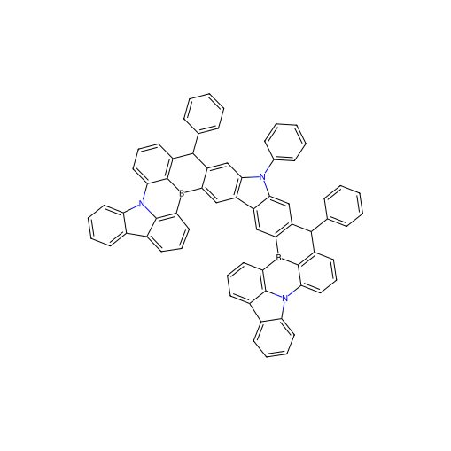 c1ccc(C2c3cc4c(cc3B3c5c2cccc5-n2c5ccccc5c5cccc3c52)c2cc3c(cc2n4-c2ccccc2)C(c2ccccc2)c2cccc4c2B3c2cccc3c5ccccc5n-4c23)cc1